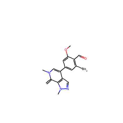 Bc1cc(C2=CN(C)C(=C)c3c2cnn3C)cc(OC)c1C=O